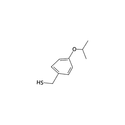 CC(C)Oc1ccc(CS)cc1